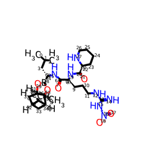 CC(C)C[C@H](NC(=O)[C@H](CCCNC(=N)N[N+](=O)[O-])NC(=O)[C@@H]1CCCCN1)B1O[C@@H]2C[C@@H]3C[C@@H](C3(C)C)[C@]2(C)O1